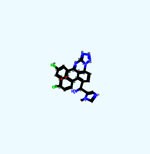 Cn1cncc1C(N)c1ccc2c(c(-c3cccc(Cl)c3)nc3nnnn32)c1-c1ccc(Cl)cc1